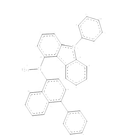 CC(C)(C)N(c1ccc(-c2ccccc2)c2ccccc12)c1cccc2c1c1ccccc1n2-c1ccccc1